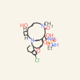 CCNS(=O)(=O)NC(=O)[C@@]1(O)CC(=O)N(C)CC/C=C/[C@H](O)[C@@H]2CC[C@H]2CN2C=CC1=CC=C1OC1[C@]1(CCCc3cc(Cl)ccc31)C2